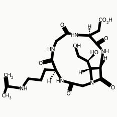 C=C(C)NCCC[C@@H]1NC(=O)CN2C(=O)[C@@H](NC(=O)[C@H](CC(=O)O)NC(=O)CNC1=O)[C@H]2[C@H](O)CO